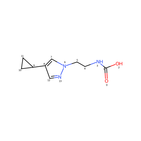 O=C(O)NCCn1cc(C2CC2)cn1